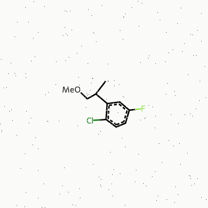 [CH2]C(COC)c1cc(F)ccc1Cl